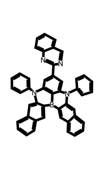 c1ccc(N2c3cc4ccccc4cc3B3c4cc5ccccc5cc4N(c4ccccc4)c4cc(-c5ncc6ccccc6n5)cc2c43)cc1